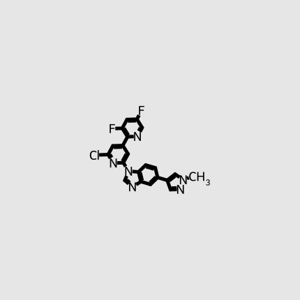 Cn1cc(-c2ccc3c(c2)ncn3-c2cc(-c3ncc(F)cc3F)cc(Cl)n2)cn1